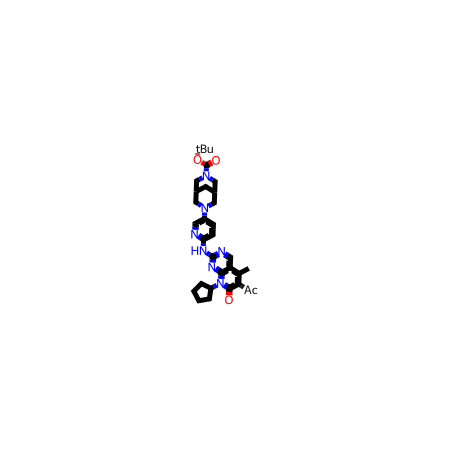 CC(=O)c1c(C)c2cnc(Nc3ccc(N4CC5CC(CN(C(=O)OC(C)(C)C)C5)C4)cn3)nc2n(C2CCCC2)c1=O